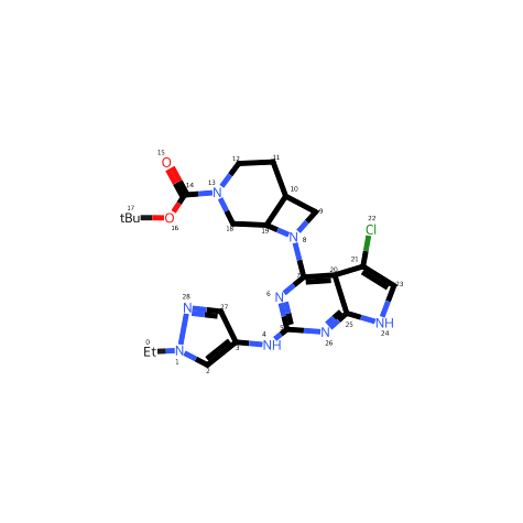 CCn1cc(Nc2nc(N3CC4CCN(C(=O)OC(C)(C)C)CC43)c3c(Cl)c[nH]c3n2)cn1